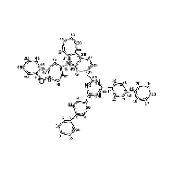 c1ccc(-c2ccc(-c3nc(-c4ccc(-c5ccccc5)cc4)nc(-c4ccc5c6ccccc6n(-c6ccc7oc8ccccc8c7c6)c5c4)n3)cc2)cc1